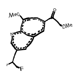 COC(=O)c1cc(OC)c2ncc(C(F)F)cc2c1